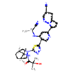 C[C@H](C#N)Nc1cc(-c2ccc3cc(C#N)cnn23)ncc1-c1nnc(N2C[C@H]3CC[C@@H](C2)[C@@H]3NC(=O)C(C)(C)O)s1